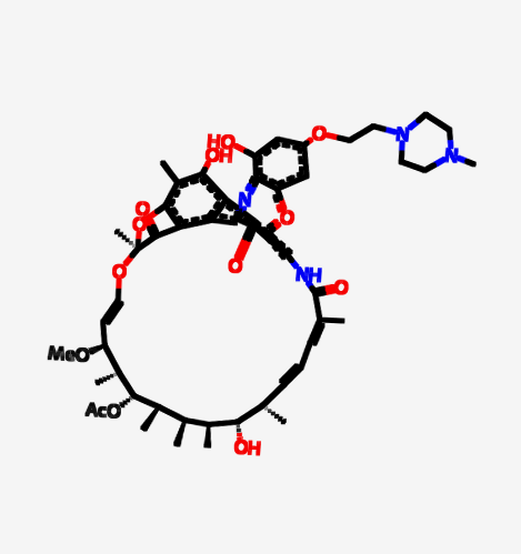 CO[C@H]1/C=C/O[C@@]2(C)Oc3c(C)c(O)c4c(=O)c(c5oc6cc(OCCN7CCN(C)CC7)cc(O)c6nc-5c4c3C2=O)NC(=O)/C(C)=C\C=C\[C@H](C)[C@H](O)[C@@H](C)[C@@H](C)[C@@H](C)[C@H](OC(C)=O)[C@@H]1C